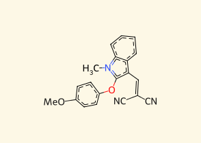 COc1ccc(Oc2c(C=C(C#N)C#N)c3ccccc3n2C)cc1